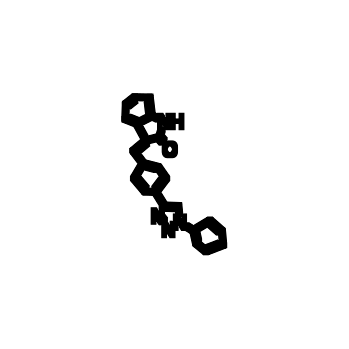 O=C1Nc2ccccc2C1=Cc1ccc(-c2cn(-c3ccccc3)nn2)cc1